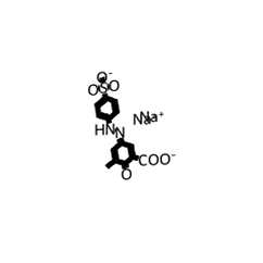 CC1=C/C(=N\Nc2ccc(S(=O)(=O)[O-])cc2)C=C(C(=O)[O-])C1=O.[Na+].[Na+]